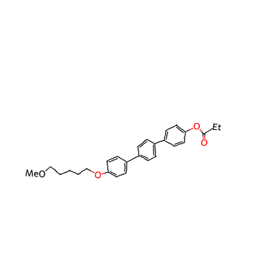 CCC(=O)Oc1ccc(-c2ccc(-c3ccc(OCCCCCOC)cc3)cc2)cc1